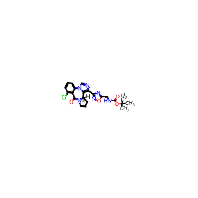 CC(C)(C)OC(=O)NCc1nc(-c2ncn3c2[C@@H]2CCCN2C(=O)c2c(Cl)cccc2-3)no1